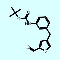 CC(C)(C)OC(=O)Nc1cccc(Cc2csc(C=O)c2)c1